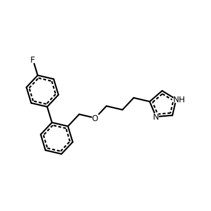 Fc1ccc(-c2ccccc2COCCCc2c[nH]cn2)cc1